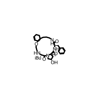 CCC(C)[C@@H]1NCCOC2=C(CCC=C2)CCCNC(=O)[C@@H](Cc2ccccc2)NC(=O)[C@H]2C[C@H](O)CN2C1=O